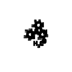 COc1cnc2c3ncccc3n(-c3ccccn3)c2c1